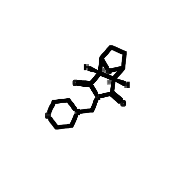 O=C1[C@@H]2C3CCC(O3)[C@@H]2C(=O)N1CN1CCOCC1